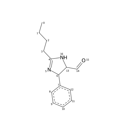 CCCCC1=NC(c2ccccc2)C(C=O)N1